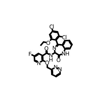 CCOc1cc(Cl)cc(Cl)c1C1=NC(NC(=O)c2cc(F)cnc2OCc2cccnn2)C(=O)Nc2ccccc21